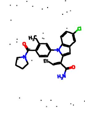 CC/C=C(/C(N)=O)c1cc2cc(Cl)ccc2n1-c1ccc(C(=O)N2CCCC2)c(C)c1